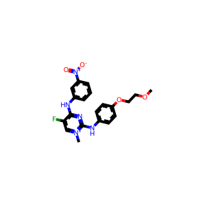 COCCOc1ccc(Nc2nc(Nc3cccc([N+](=O)[O-])c3)c(F)c[n+]2C)cc1